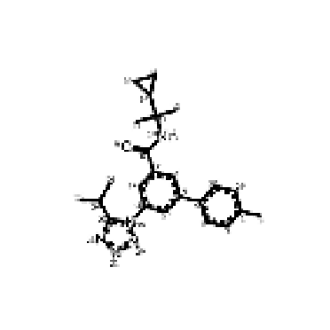 Cc1ccc(-c2cc(C(=O)NC(C)(C)C3CC3)cc(-n3nnnc3C(C)C)c2)cc1